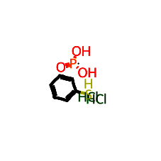 Cl.Cl.O=[P](O)O.Sc1ccccc1